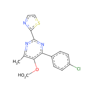 Cc1nc(-c2nccs2)nc(-c2ccc(Cl)cc2)c1OC(=O)O